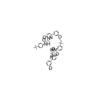 COc1cccc(-c2ccc(=O)n(C(C)(C=O)CNc3cccc(C(C)(C)CCOc4cccc(-c5ccc(=O)n(C(C)C(=O)Nc6ccc(C(C)(C)C)cc6)n5)c4)c3)n2)c1